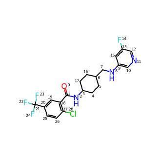 O=C(NC1CCC(CNc2cncc(F)c2)CC1)c1cc(C(F)(F)F)ccc1Cl